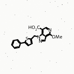 COc1ncc(C(=O)O)c2c1cnn2Cc1ccc(-c2ccccc2)s1